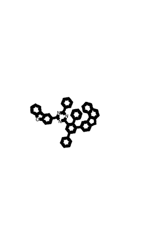 c1ccc(-c2cc(-c3ccc4c(c3)-c3c(ccc5ccccc35)C4)c(-c3ccccc3)c(-c3nc(-c4ccccc4)nc(-c4ccc5oc6ccccc6c5c4)n3)c2)cc1